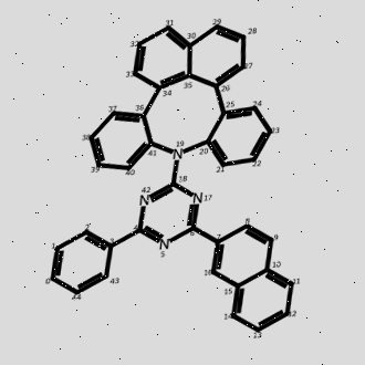 c1ccc(-c2nc(-c3ccc4ccccc4c3)nc(N3c4ccccc4-c4cccc5cccc(c45)-c4ccccc43)n2)cc1